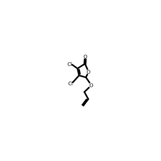 C=CCOC1OC(=O)C(Cl)=C1Cl